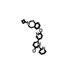 O=c1ccc(-c2ccc(Oc3ccc4c(c3)CCN(C3=CC=C3)CC4)nc2)nn1-c1ccccn1